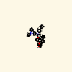 C1=C(N(c2ccc(C3(c4ccccc4)c4ccccc4C4(c5ccccc5)c5ccccc5-c5cccc3c54)cc2)c2ccc3c(c2)c2ccccc2n3-c2ccccc2)CCC(c2ccccc2)C1